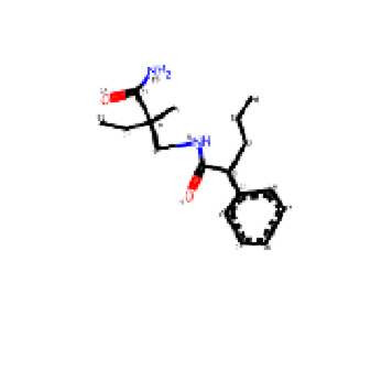 CCCC(C(=O)NCC(C)(CC)C(N)=O)c1ccccc1